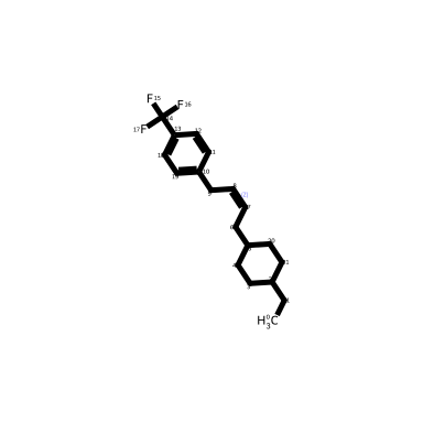 CCC1CCC(C/C=C\Cc2ccc(C(F)(F)F)cc2)CC1